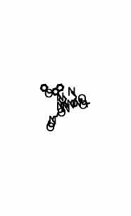 CC(C)(C)OC(=O)N1CCN(c2nc(OCCCN3CCOCC3)nc3c2CCN(c2cc(Oc4ccccc4)cc4ccccc24)C3)CC1CC#N